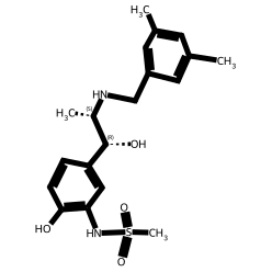 Cc1cc(C)cc(CN[C@@H](C)[C@H](O)c2ccc(O)c(NS(C)(=O)=O)c2)c1